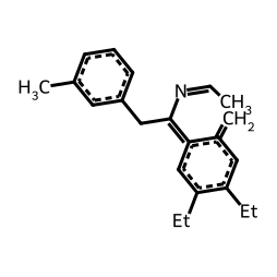 C=c1cc(CC)c(CC)c/c1=C(Cc1cccc(C)c1)/N=C\C